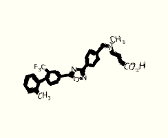 Cc1ccccc1-c1ccc(-c2nc(-c3ccc(CN(C)CCCC(=O)O)cc3)no2)cc1C(F)(F)F